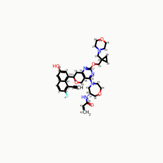 C#Cc1c(F)ccc2cc(O)cc(C3Cc4nc(OCC5(CN6CCOCC6)CC5)nc(N5CCOC[C@H](NC(=O)C=C)C5)c4CO3)c12